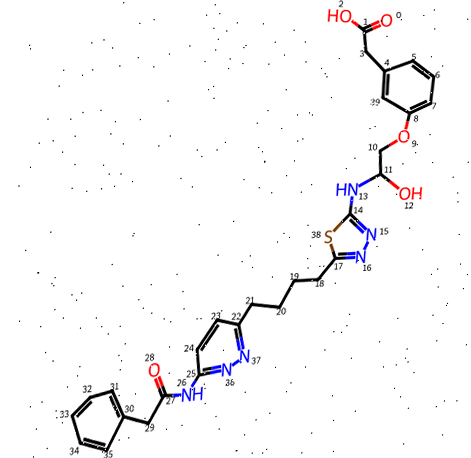 O=C(O)Cc1cccc(OCC(O)Nc2nnc(CCCCc3ccc(NC(=O)Cc4ccccc4)nn3)s2)c1